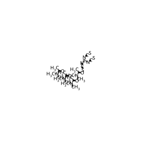 CC(=O)N(C)C.CC(=O)N(C)C.CC(=O)N(C)C.CC(=O)N(C)C.S=C=[N][In]([N]=C=S)[N]=C=S